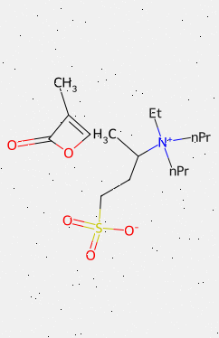 CC1=COC1=O.CCC[N+](CC)(CCC)C(C)CCS(=O)(=O)[O-]